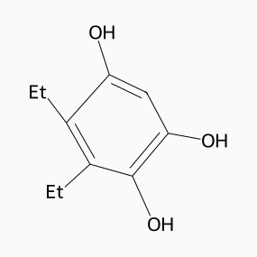 CCc1c(O)cc(O)c(O)c1CC